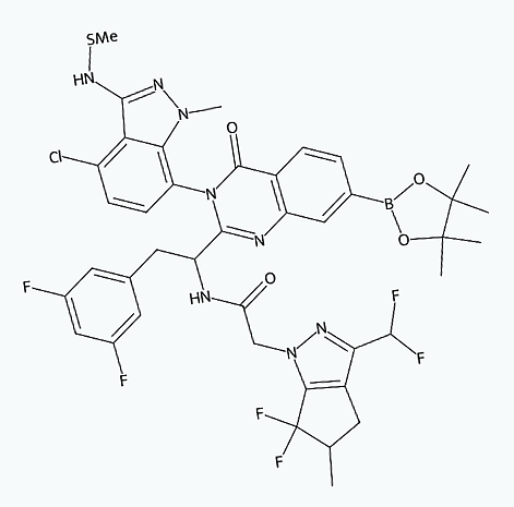 CSNc1nn(C)c2c(-n3c(C(Cc4cc(F)cc(F)c4)NC(=O)Cn4nc(C(F)F)c5c4C(F)(F)C(C)C5)nc4cc(B5OC(C)(C)C(C)(C)O5)ccc4c3=O)ccc(Cl)c12